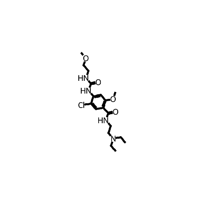 CCN(CC)CCNC(=O)c1cc(Cl)c(NC(=O)NCCOC)cc1OC